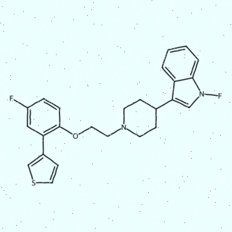 Fc1ccc(OCCN2CCC(c3cn(F)c4ccccc34)CC2)c(-c2ccsc2)c1